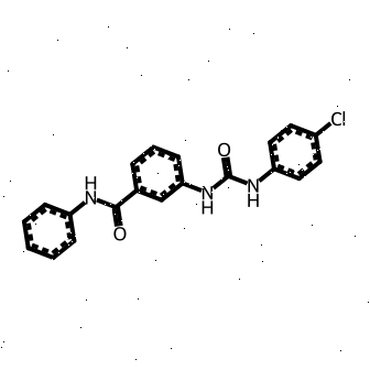 O=C(Nc1ccc(Cl)cc1)Nc1cccc(C(=O)Nc2ccccc2)c1